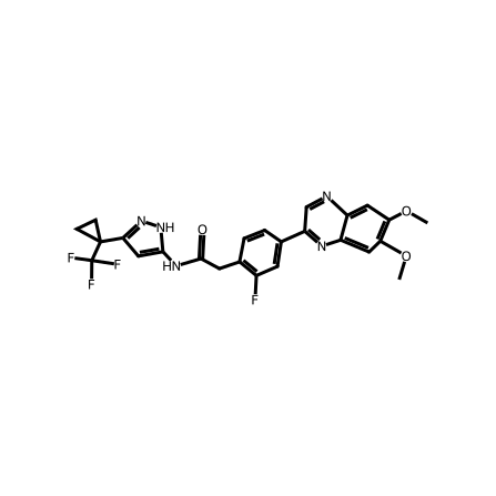 COc1cc2ncc(-c3ccc(CC(=O)Nc4cc(C5(C(F)(F)F)CC5)n[nH]4)c(F)c3)nc2cc1OC